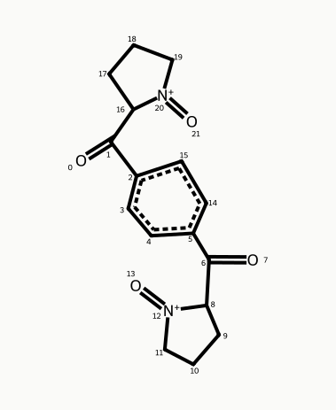 O=C(c1ccc(C(=O)C2CCC[N+]2=O)cc1)C1CCC[N+]1=O